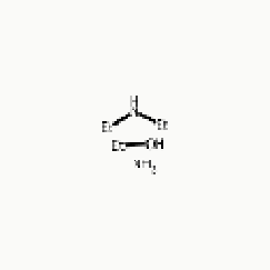 CCNCC.CCO.N